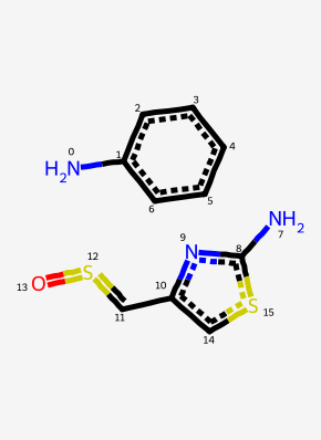 Nc1ccccc1.Nc1nc(C=S=O)cs1